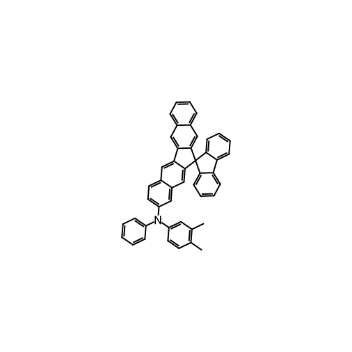 Cc1ccc(N(c2ccccc2)c2ccc3cc4c(cc3c2)C2(c3ccccc3-c3ccccc32)c2cc3ccccc3cc2-4)cc1C